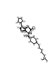 CN(C)CCCCCC1CCN(Nc2nc(Cl)nc3c2ncn3C2CCCC2)CC1